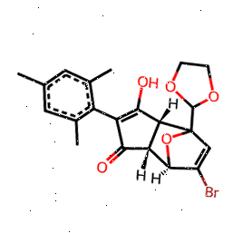 Cc1cc(C)c(C2=C(O)[C@H]3[C@@H](C2=O)[C@H]2OC3(C3OCCO3)C=C2Br)c(C)c1